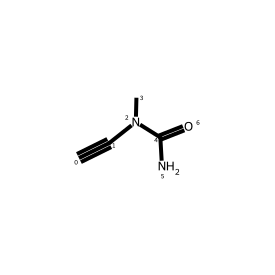 C#CN(C)C(N)=O